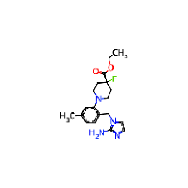 CCOC(=O)C1(F)CCN(c2cc(C)ccc2Cn2ccnc2N)CC1